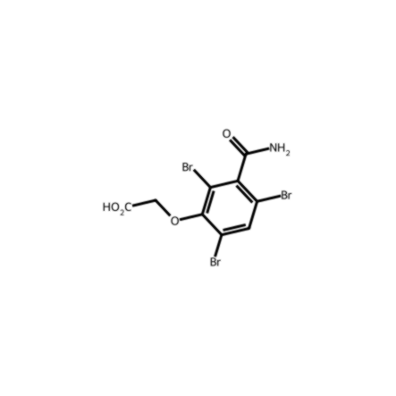 NC(=O)c1c(Br)cc(Br)c(OCC(=O)O)c1Br